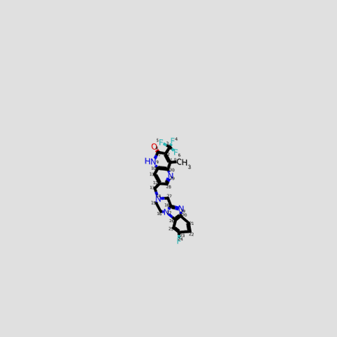 Cc1c(C(F)(F)F)c(=O)[nH]c2cc(CN3CCn4c(nc5ccc(F)cc54)C3)cnc12